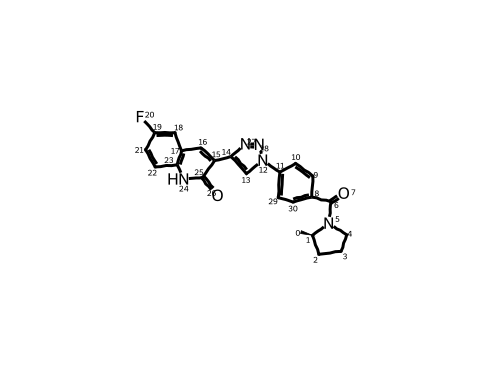 C[C@@H]1CCCN1C(=O)c1ccc(-n2cc(-c3cc4cc(F)ccc4[nH]c3=O)nn2)cc1